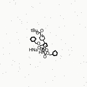 CC(C)(C)OC(=O)N1CCC(c2ccn(S(=O)(=O)NC(=O)OCc3ccccc3)c2C(=O)OCc2ccccc2)CC1.[NaH]